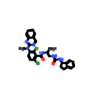 CN(c1ncc2ccccc2n1)c1ccc(Cl)c(C(=O)NC(CNC(=O)N[C@@H]2CCc3ccccc32)C(=O)O)c1Cl